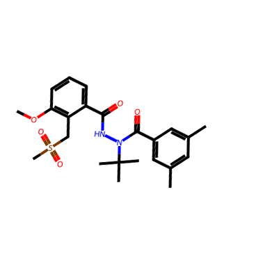 COc1cccc(C(=O)NN(C(=O)c2cc(C)cc(C)c2)C(C)(C)C)c1CS(C)(=O)=O